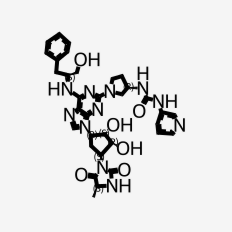 C[C@@H]1NC(=O)N([C@H]2C[C@@H](n3cnc4c(N[C@H](CO)Cc5ccccc5)nc(N5CC[C@@H](NC(=O)Nc6cccnc6)C5)nc43)[C@H](O)[C@@H]2O)C1=O